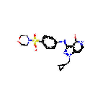 O=c1[nH]ccc2c1c(Nc1ccc(S(=O)(=O)N3CCOCC3)cc1)nn2CC1CC1